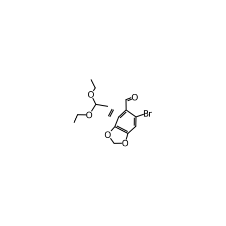 C=C.CCOC(C)OCC.O=Cc1cc2c(cc1Br)OCO2